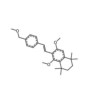 COCc1ccc(/C=C/c2c(OC)cc3c(c2OC)C(C)(C)CCC3(C)C)cc1